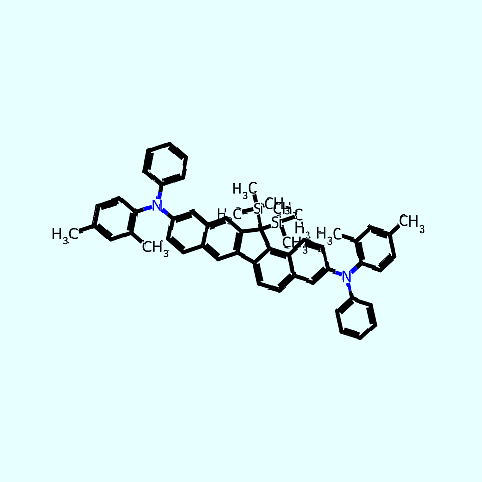 Cc1ccc(N(c2ccccc2)c2ccc3cc4c(cc3c2)C([Si](C)(C)C)([Si](C)(C)C)c2c-4ccc3cc(N(c4ccccc4)c4ccc(C)cc4C)ccc23)c(C)c1